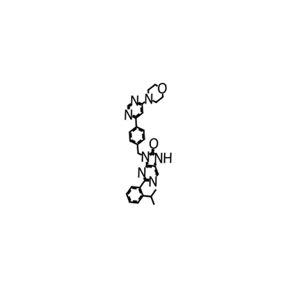 CC(C)c1ccccc1-c1ncc2[nH]c(=O)n(Cc3ccc(-c4cc(N5CCOCC5)ncn4)cc3)c2n1